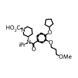 COCCCOc1cc(C(=O)N(C(C)C)[C@@H]2CCCN(C(=O)O)C2)ccc1OC1CCCC1